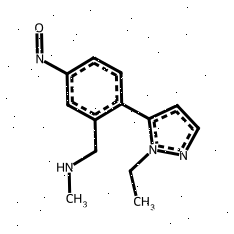 CCn1nccc1-c1ccc(N=O)cc1CNC